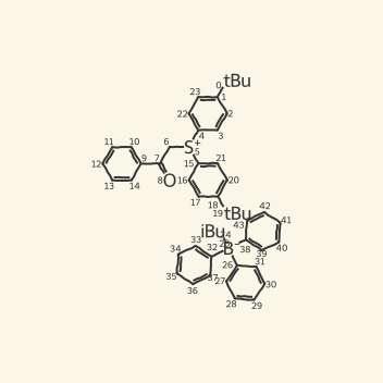 CC(C)(C)c1ccc([S+](CC(=O)c2ccccc2)c2ccc(C(C)(C)C)cc2)cc1.CCC(C)[B-](c1ccccc1)(c1ccccc1)c1ccccc1